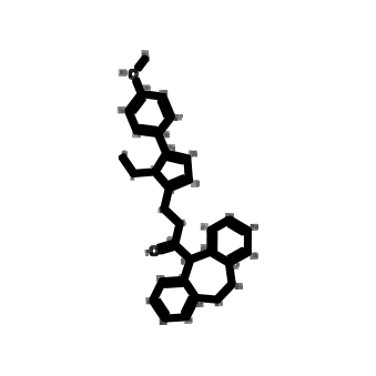 CCC1C(CCC(=O)C2c3ccccc3CCc3ccccc32)=CC=C1c1ccc(OC)cc1